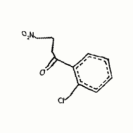 O=C(C[N+](=O)[O-])c1ccccc1Cl